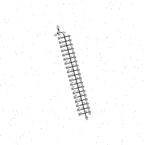 O=[SH](=O)OC(Br)(Br)C(Br)(Br)C(Br)(Br)C(Br)(Br)C(Br)(Br)C(Br)(Br)C(Br)(Br)C(Br)(Br)C(Br)(Br)C(Br)(Br)C(Br)(Br)C(Br)(Br)C(Br)(Br)C(Br)(Br)C(Br)(Br)C(Br)(Br)C(Br)(Br)C(Br)(Br)C(Br)(Br)Br